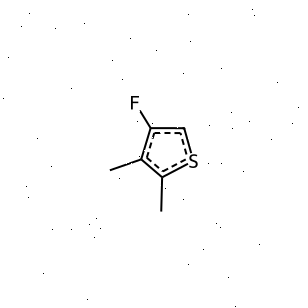 Cc1scc(F)c1C